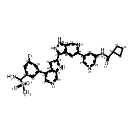 CS(=O)(=O)C(N)c1cc(F)cc(-c2cncc3[nH]c(-c4n[nH]c5cnc(-c6cncc(NC(=O)C7CCC7)c6)cc45)cc23)c1